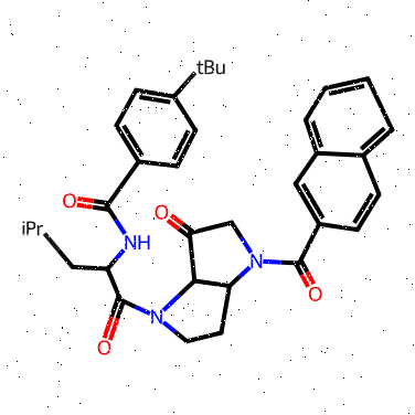 CC(C)CC(NC(=O)c1ccc(C(C)(C)C)cc1)C(=O)N1CCC2C1C(=O)CN2C(=O)c1ccc2ccccc2c1